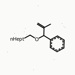 C=C(C)C(OCCCCCCCC)c1ccccc1